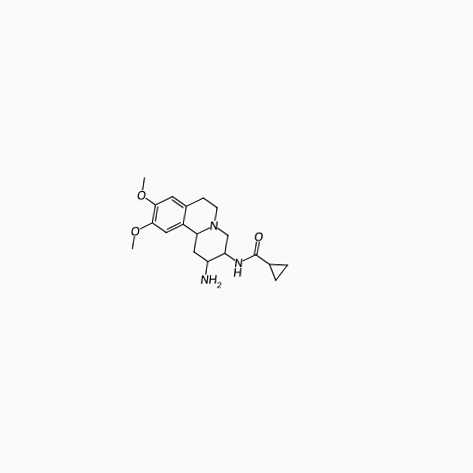 COc1cc2c(cc1OC)C1CC(N)C(NC(=O)C3CC3)CN1CC2